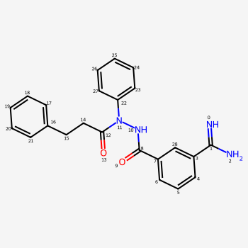 N=C(N)c1cccc(C(=O)NN(C(=O)CCc2ccccc2)c2ccccc2)c1